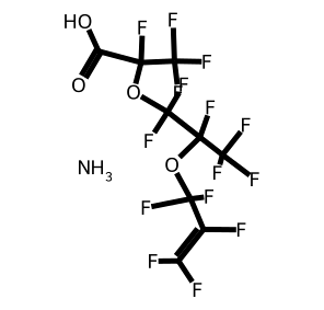 N.O=C(O)C(F)(OC(F)(F)C(F)(OC(F)(F)C(F)=C(F)F)C(F)(F)F)C(F)(F)F